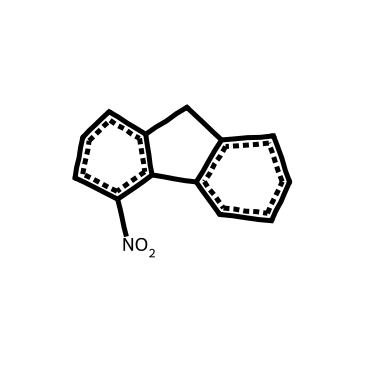 O=[N+]([O-])c1cccc2c1-c1ccccc1C2